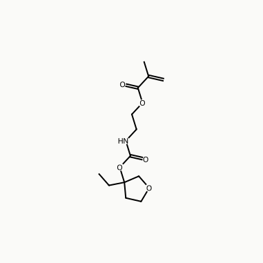 C=C(C)C(=O)OCCNC(=O)OC1(CC)CCOC1